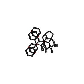 O=C(C(c1ccccc1)c1ccccc1)N1CC2CC[C@H]([C@H]1P(=O)(O)O)N2C(=O)N(c1ccccc1)c1ccccc1